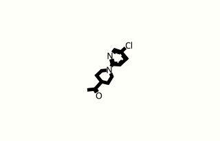 CC(=O)C1CCN(c2ccc(Cl)cn2)CC1